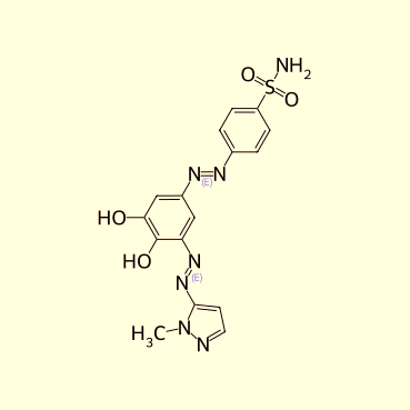 Cn1nccc1/N=N/c1cc(/N=N/c2ccc(S(N)(=O)=O)cc2)cc(O)c1O